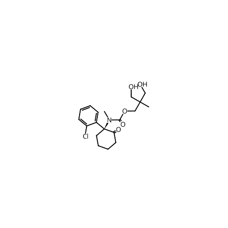 CN(C(=O)OCC(C)(CO)CO)[C@]1(c2ccccc2Cl)CCCCC1=O